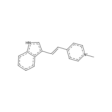 C[n+]1ccc(C=Cc2c[nH]c3ccccc23)cc1